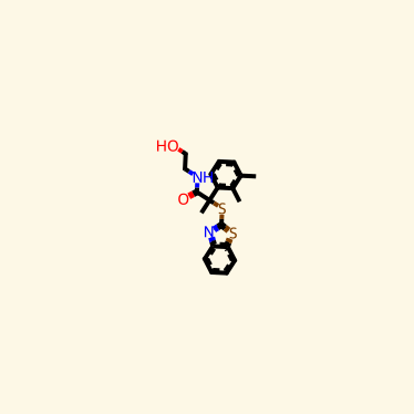 Cc1cccc(C(C)(Sc2nc3ccccc3s2)C(=O)NCCO)c1C